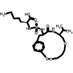 CC(C)C1COCCCCOc2ccc(cc2)CC(NS(=O)(=O)N[C@@H](CCCCN)C(=O)O)C(=O)N1